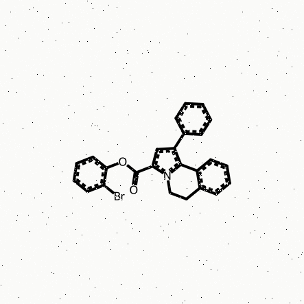 O=C(Oc1ccccc1Br)c1cc(-c2ccccc2)c2n1CCc1ccccc1-2